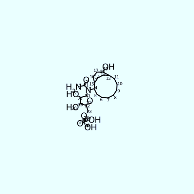 NC(=O)N(C1CCCCCCCC2CCC1CCC2O)C1OC(COP(=O)(O)O)C(O)C1O